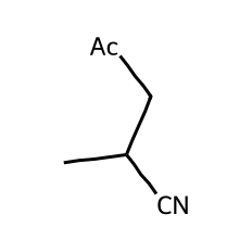 CC(=O)CC(C)C#N